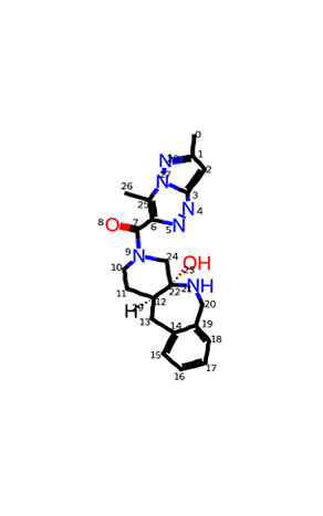 Cc1cc2nnc(C(=O)N3CC[C@@H]4Cc5ccccc5CN[C@]4(O)C3)c(C)n2n1